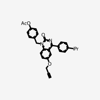 C#CCOc1ccc2c(c1)c(-c1ccc(C(C)C)cc1)nc(=O)n2Cc1ccc(OC(C)=O)cc1